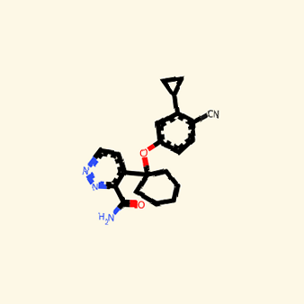 N#Cc1ccc(OC2(c3ccnnc3C(N)=O)CCCCC2)cc1C1CC1